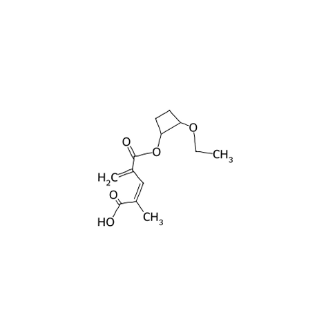 C=C(C=C(C)C(=O)O)C(=O)OC1CCC1OCC